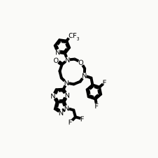 O=C1CCN(c2cnc3cnn(CC(F)F)c3n2)CCN(Cc2ccc(F)cc2F)COCN1c1cc(C(F)(F)F)ccn1